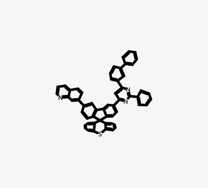 c1ccc(-c2cccc(-c3cc(-c4ccc5c(c4)-c4cc(-c6ccc7cccnc7c6)ccc4C54c5ccccc5Sc5ccccc54)nc(-c4ccccc4)n3)c2)cc1